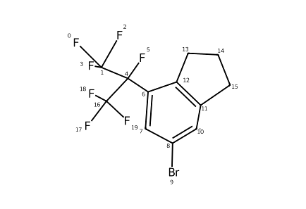 FC(F)(F)C(F)(c1cc(Br)[c]c2c1CCC2)C(F)(F)F